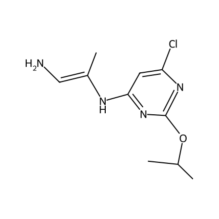 C/C(=C\N)Nc1cc(Cl)nc(OC(C)C)n1